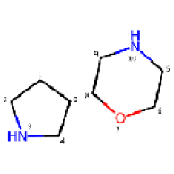 C1CCNC1.C1COCCN1